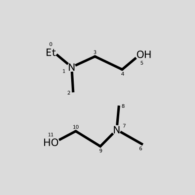 CCN(C)CCO.CN(C)CCO